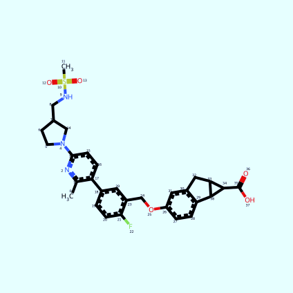 Cc1nc(N2CCC(CNS(C)(=O)=O)C2)ccc1-c1ccc(F)c(COc2ccc3c(c2)CC2C(C(=O)O)C32)c1